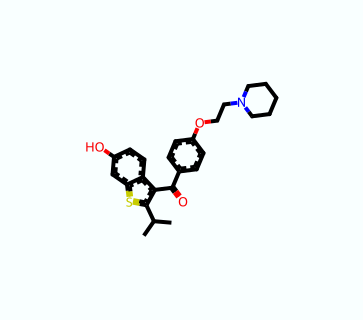 CC(C)c1sc2cc(O)ccc2c1C(=O)c1ccc(OCCN2CCCCC2)cc1